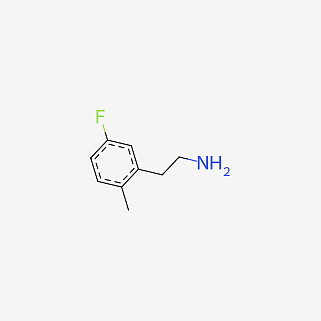 Cc1ccc(F)cc1CCN